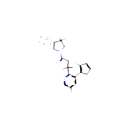 CC1(c2ncc(F)cc2C2=C(F)C=CC2)CC(N2C[C@@H](NS(C)(=O)=O)C(F)(F)C2)=NO1